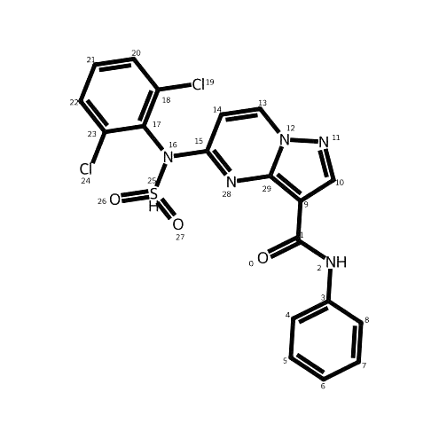 O=C(Nc1ccccc1)c1cnn2ccc(N(c3c(Cl)cccc3Cl)[SH](=O)=O)nc12